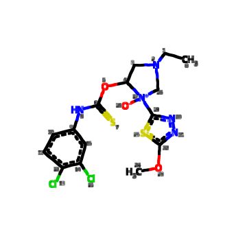 CCN1CC(OC(=S)Nc2ccc(Cl)c(Cl)c2)[N+]([O-])(c2nnc(OC)s2)C1